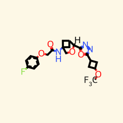 O=C(COc1ccc(F)cc1)NC12CO[C@@H](c3nnc(C4CC(OC(F)(F)F)C4)o3)C(C1)C2